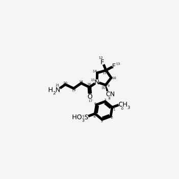 Cc1ccc(S(=O)(=O)O)cc1.N#C[C@@H]1CC(F)(F)CN1C(=O)CCCN